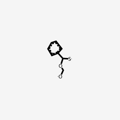 [O]COC([S])c1ccccc1